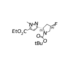 CCOC(=O)c1cc([C@@H]2C[C@@H](F)CN2C(=O)OC(C)(C)C)nn1C